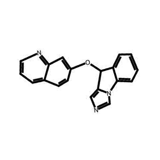 c1ccc2c(c1)C(Oc1ccc3cccnc3c1)c1cncn1-2